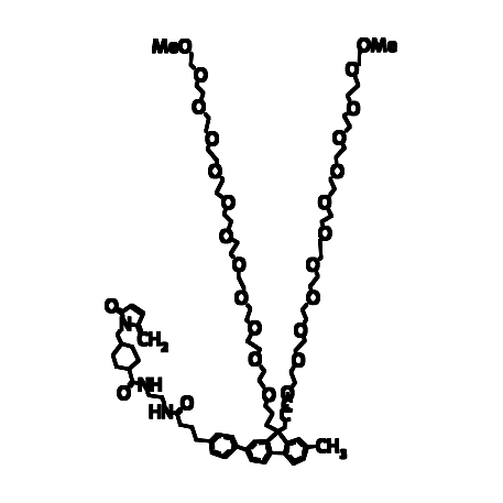 C=C1C=CC(=O)N1CC1CCC(C(=O)NCCNC(=O)CCCc2ccc(-c3ccc4c(c3)C(CCCOCCOCCOCCOCCOCCOCCOCCOCCOCCOCCOCCOC)(CCCOCCOCCOCCOCCOCCOCCOCCOCCOCCOCCOCCOC)c3cc(C)ccc3-4)cc2)CC1